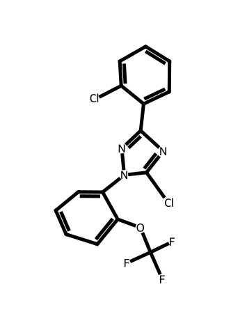 FC(F)(F)Oc1ccccc1-n1nc(-c2ccccc2Cl)nc1Cl